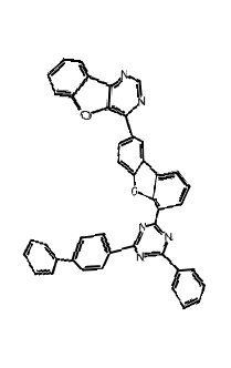 c1ccc(-c2ccc(-c3nc(-c4ccccc4)nc(-c4cccc5c4oc4ccc(-c6ncnc7c6oc6ccccc67)cc45)n3)cc2)cc1